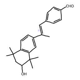 C/C(=C\c1ccc(C=O)cc1)c1ccc2c(c1)C(C)(C)C(O)CC2(C)C